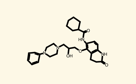 O=C1CCc2c(ccc(NC(=O)C3CCCCC3)c2OCC(O)CN2CCN(c3ccccc3)CC2)N1